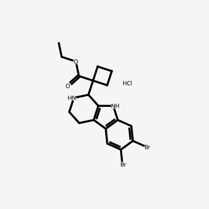 CCOC(=O)C1(C2NCCc3c2[nH]c2cc(Br)c(Br)cc32)CCC1.Cl